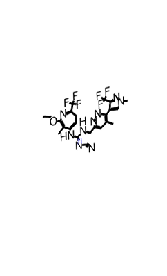 CCOC1=C(C)C(N/C(=N/C#N)NCc2cc(C)c(-c3cn(C)nc3C(F)(F)F)nn2)=CCC(C(F)(F)F)=N1